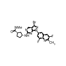 CNC(=O)[C@@H]1CC[C@@H](Nc2ncc3c(Br)nn(-c4cc(F)c5nc(C)c(F)cc5c4)c3n2)C1